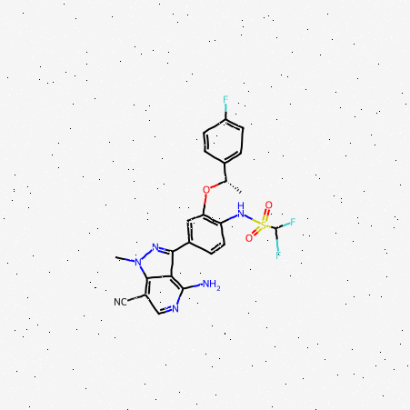 C[C@H](Oc1cc(-c2nn(C)c3c(C#N)cnc(N)c23)ccc1NS(=O)(=O)C(F)F)c1ccc(F)cc1